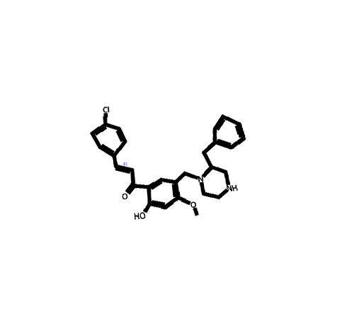 COc1cc(O)c(C(=O)/C=C/c2ccc(Cl)cc2)cc1CN1CCNCC1Cc1ccccc1